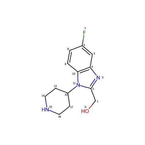 OCc1nc2cc(F)ccc2n1C1CCNCC1